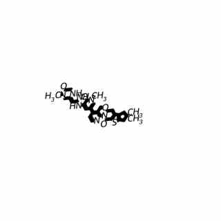 CN1C/C(=C/C(=N)Nc2cc(-c3ccnc(N4CCc5c(sc6c5CC(C)(C)C6)C4=O)c3C=O)cn(C)c2=O)NCC1=O